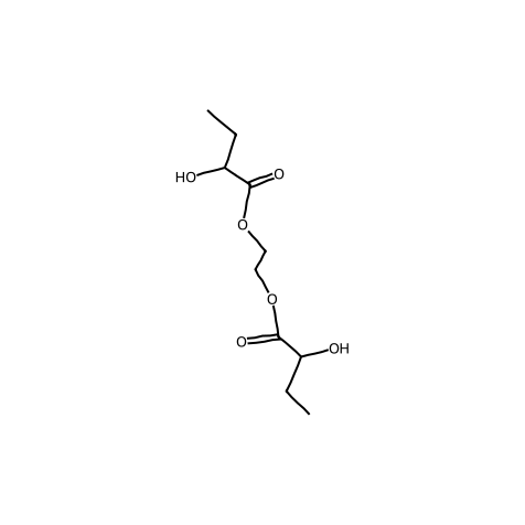 CCC(O)C(=O)OCCOC(=O)C(O)CC